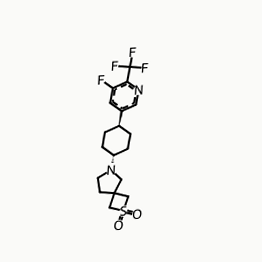 O=S1(=O)CC2(CCN([C@H]3CC[C@H](c4cnc(C(F)(F)F)c(F)c4)CC3)C2)C1